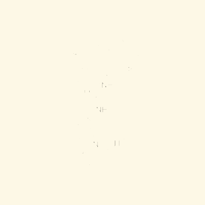 CC(C)N1C2CC[C@@H]1CC(SNC(=O)Nc1c3c(cc4c1CCC4)CCC3)C2